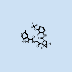 Cc1cc2c(C(=O)NCC(=O)N3[C@@H]4C[C@@H]4C[C@H]3C(=O)Nc3cccc(OC(F)(F)F)c3F)n[nH]c2cn1